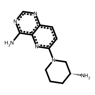 Nc1ncnc2ccc(N3CCC[C@@H](N)C3)nc12